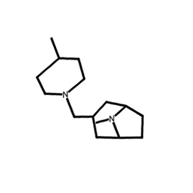 CC1CCN(CC2CC3CCC(C2)N3C)CC1